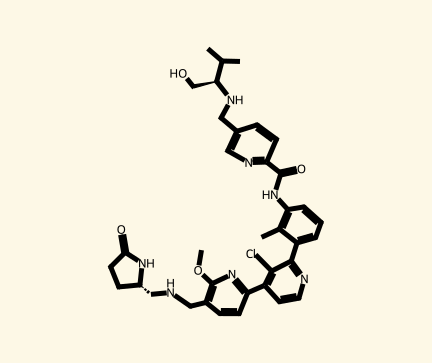 COc1nc(-c2ccnc(-c3cccc(NC(=O)c4ccc(CN[C@@H](CO)C(C)C)cn4)c3C)c2Cl)ccc1CNC[C@@H]1CCC(=O)N1